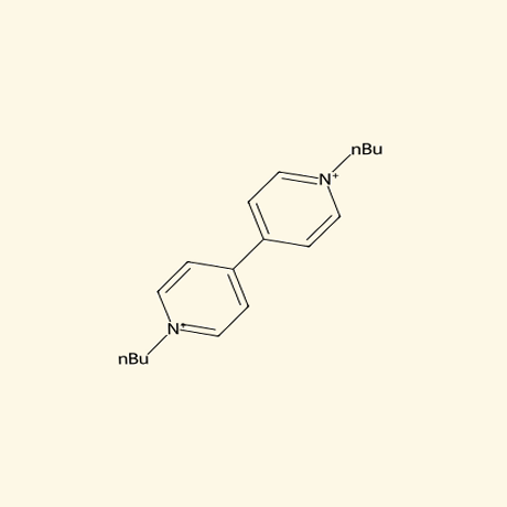 CCCC[n+]1ccc(-c2cc[n+](CCCC)cc2)cc1